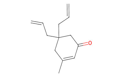 C=CCC1(CC=C)CC(=O)C=C(C)C1